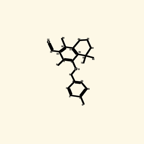 Cc1ccc(COc2c(C)c(C=O)c(C)c3c2C(C)(C)CCC3)cc1